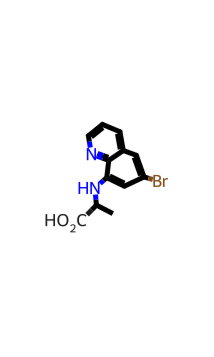 CC(Nc1cc(Br)cc2cccnc12)C(=O)O